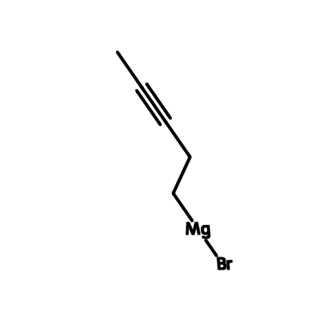 CC#CC[CH2][Mg][Br]